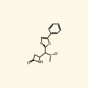 C[S+]([O-])C(c1ncc(-c2ccccc2)o1)C1CC(=O)N1